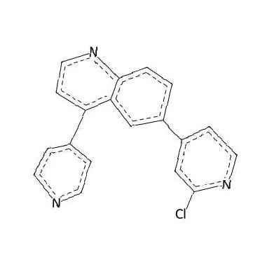 Clc1cc(-c2ccc3nccc(-c4ccncc4)c3c2)ccn1